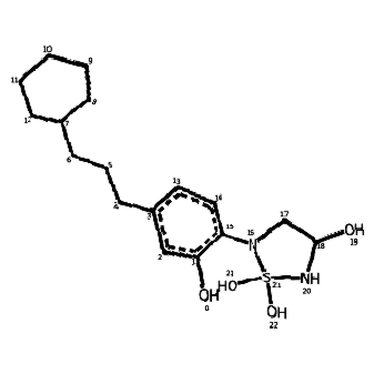 Oc1cc([CH]CCC2CCCCC2)ccc1N1CC(O)NS1(O)O